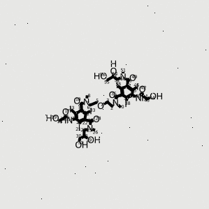 CN(CCOCCN(C)C(=O)c1c(I)c(NC(=O)CO)c(I)c(C(=O)N(C)CC(O)CO)c1I)C(=O)c1c(I)c(NC(=O)CO)c(I)c(C(=O)N(C)CC(O)CO)c1I